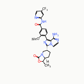 COc1cc(C(=O)Nc2cc(C(F)(F)F)ccn2)ccc1-c1nc([C@@H]2CC[C@H]3[C@@H](C)OC(=O)N3C2)n2ccnc(N)c12